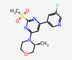 C[C@H]1COCCN1c1cc(-c2cncc(F)c2)nc(S(C)(=O)=O)n1